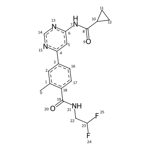 Cc1cc(-c2cc(NC(=O)C3CC3)ncn2)ccc1C(=O)NCC(F)F